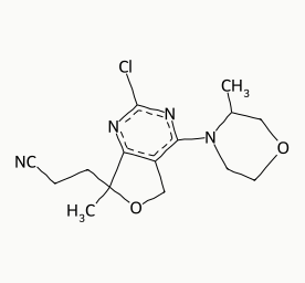 CC1COCCN1c1nc(Cl)nc2c1COC2(C)CCC#N